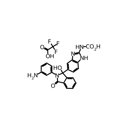 Nc1cccc(N2C(=O)c3ccccc3C2(O)c2ccc3[nH]c(NC(=O)O)nc3c2)c1.O=C(O)C(F)(F)F